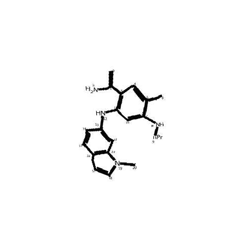 C=C(N)c1cc(C)c(NCCC)cc1Nc1ccc2ccn(C)c2c1